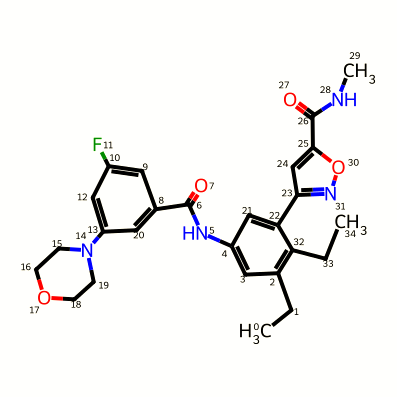 CCc1cc(NC(=O)c2cc(F)cc(N3CCOCC3)c2)cc(-c2cc(C(=O)NC)on2)c1CC